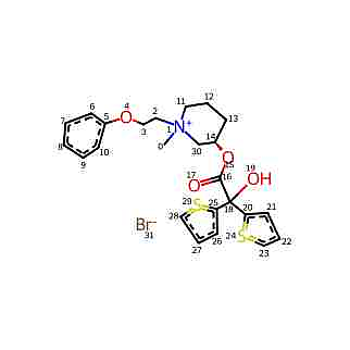 C[N+]1(CCOc2ccccc2)CCC[C@@H](OC(=O)C(O)(c2cccs2)c2cccs2)C1.[Br-]